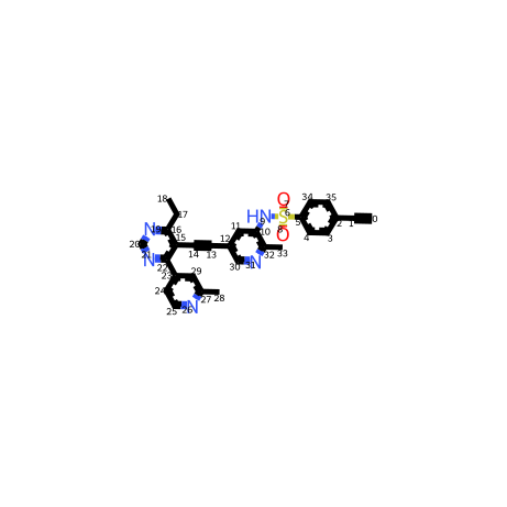 C#Cc1ccc(S(=O)(=O)Nc2cc(C#Cc3c(CC)ncnc3-c3ccnc(C)c3)cnc2C)cc1